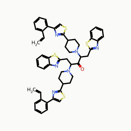 C=Cc1ccccc1-c1csc(C2CCN(C(Cc3nc4ccccc4s3)C(=O)C(Cc3nc4ccccc4s3)N3CCC(c4nc(-c5ccccc5C=C)cs4)CC3)CC2)n1